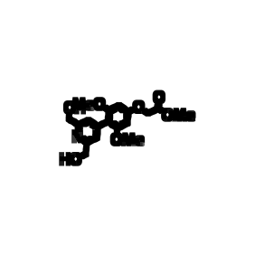 COC(=O)COc1cc(OC)c(-c2cc(CO)nc(CO)c2)c(OC)c1